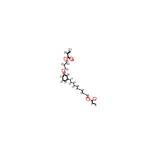 C=CC(=O)OCCCCCCCCCc1cccc(OCCCOC(=O)C=C)c1